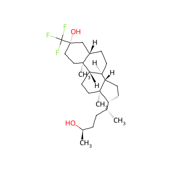 C[C@H](CC[C@@H](C)O)[C@H]1CC[C@H]2[C@@H]3CC[C@H]4C[C@](O)(C(F)(F)F)CC[C@]4(C)[C@H]3CC[C@]12C